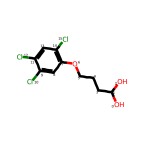 OC(O)CCCOc1cc(Cl)c(Cl)cc1Cl